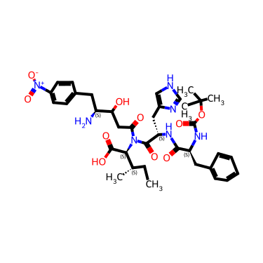 CC[C@H](C)[C@@H](C(=O)O)N(C(=O)CC(O)[C@@H](N)Cc1ccc([N+](=O)[O-])cc1)C(=O)[C@H](Cc1c[nH]cn1)NC(=O)[C@H](Cc1ccccc1)NC(=O)OC(C)(C)C